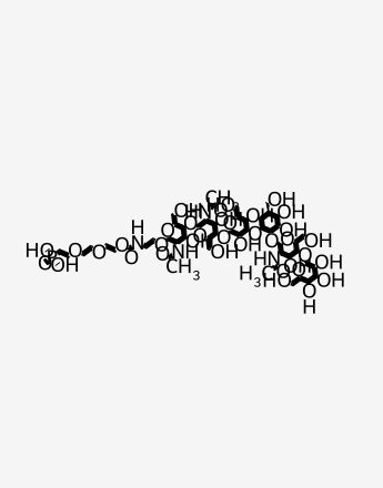 CC(=O)NC1[C@H](OCCNC(=O)OCCOCCOCCP(=O)(O)O)OC(CO)[C@@H](O[C@@H]2OC(CO)[C@@H](O[C@@H]3OC(CO)[C@@H](O)[C@H](O[C@H]4C[C@@H](CO)[C@@H](O)C(O)C4O[C@@H]4OC(CO)[C@@H](O[C@@H]5OC(CO)[C@H](O)[C@H](O)C5O)[C@H](O)C4NC(C)=O)C3O)[C@H](O)C2NC(C)=O)[C@@H]1O